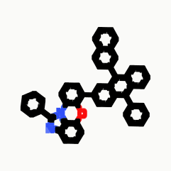 c1ccc(-c2c3ccccc3c(-c3ccc4ccccc4c3)c3cc(-c4cccc5c4Oc4cccc6nc(-c7ccccc7)n-5c46)ccc23)cc1